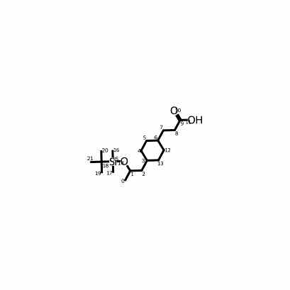 CC(CC1CCC(CCC(=O)O)CC1)O[Si](C)(C)C(C)(C)C